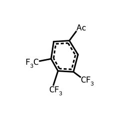 CC(=O)c1cc(C(F)(F)F)c(C(F)(F)F)c(C(F)(F)F)c1